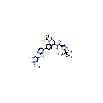 CN/C=C(\C=N)Nc1nccc(-c2ccc3c(c2)N(C(C)S)CCC3NC(=O)c2cnc(C(C)(C)C)s2)n1